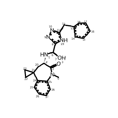 CN1C(=O)[C@@H](NC(O)c2nnc(Cc3ccccc3)[nH]2)CC2(CC2)c2ccccc21